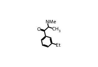 CCc1cccc(C(=O)C(C)NC)c1